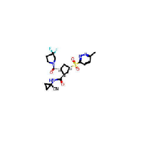 Cc1ccc(S(=O)(=O)[C@@H]2C[C@@H](C(=O)NC3(C#N)CC3)[C@H](C(=O)N3CCC(F)(F)C3)C2)nn1